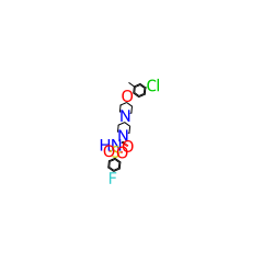 Cc1cc(Cl)ccc1OC1CCN(C2CCN(C(=O)NS(=O)(=O)c3ccc(F)cc3)CC2)CC1